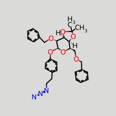 CC1(C)O[C@H]2[C@@H](O1)[C@@H](COCc1ccccc1)O[C@@H](Oc1ccc(CCN=[N+]=[N-])cc1)[C@@H]2OCc1ccccc1